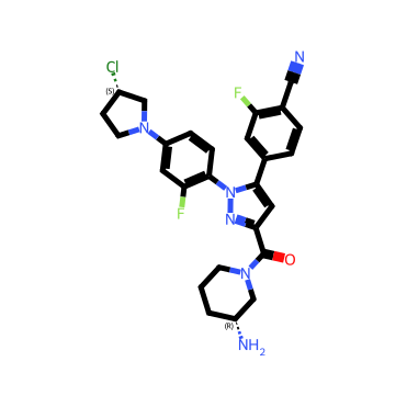 N#Cc1ccc(-c2cc(C(=O)N3CCC[C@@H](N)C3)nn2-c2ccc(N3CC[C@H](Cl)C3)cc2F)cc1F